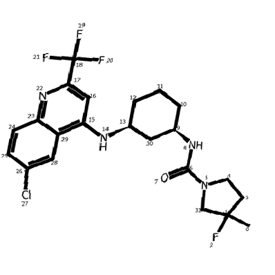 CC1(F)CCN(C(=O)N[C@@H]2CCC[C@H](Nc3cc(C(F)(F)F)nc4ccc(Cl)cc34)C2)C1